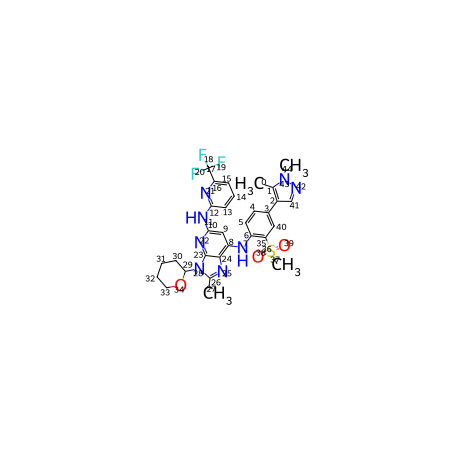 Cc1c(-c2ccc(Nc3cc(Nc4cccc(C(F)(F)F)n4)nc4c3nc(C)n4C3CCCCO3)c(S(C)(=O)=O)c2)cnn1C